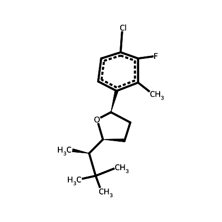 Cc1c([C@H]2CC[C@@H]([C@H](C)C(C)(C)C)O2)ccc(Cl)c1F